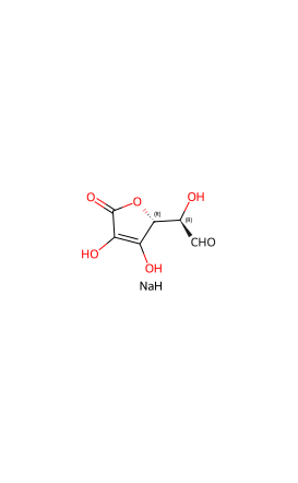 O=C[C@H](O)[C@H]1OC(=O)C(O)=C1O.[NaH]